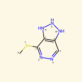 CSc1nncc2c1NNN2